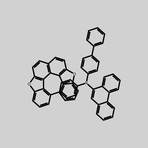 c1ccc(-c2ccc(N(c3ccc(-c4cccc5oc6ccc7ccc8oc9ccccc9c8c7c6c45)cc3)c3cc4ccccc4c4ccccc34)cc2)cc1